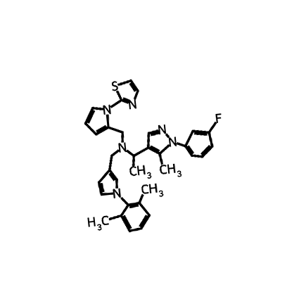 Cc1cccc(C)c1-n1ccc(CN(Cc2cccn2-c2nccs2)C(C)c2cnn(-c3cccc(F)c3)c2C)c1